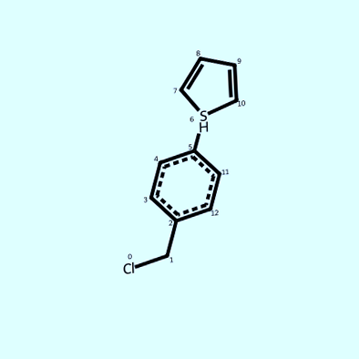 ClCc1ccc([SH]2C=CC=C2)cc1